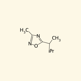 Cc1noc(C(C)C(C)C)n1